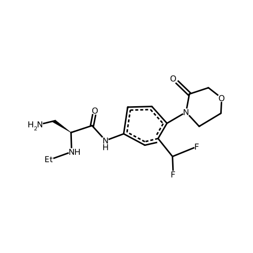 CCN[C@@H](CN)C(=O)Nc1ccc(N2CCOCC2=O)c(C(F)F)c1